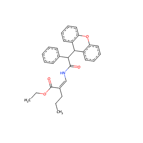 CCCC(=CNC(=O)C(c1ccccc1)C1c2ccccc2Oc2ccccc21)C(=O)OCC